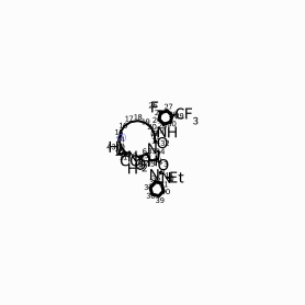 CCn1c(O[C@@H]2C[C@H]3C(=O)N[C@]4(C(=O)O)C[C@H]4/C=C\CCCCC[C@H](Nc4cc(F)cc(C(F)(F)F)c4)C(=O)N3C2)nc2ccccc21